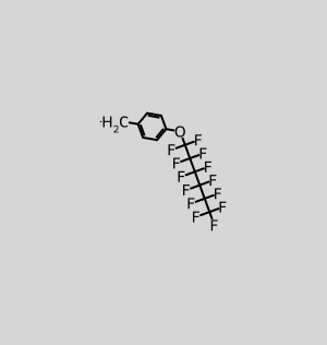 [CH2]c1ccc(OC(F)(F)C(F)(F)C(F)(F)C(F)(F)C(F)(F)C(F)(F)F)cc1